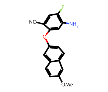 COc1ccc2cc(Oc3cc(N)c(F)cc3C#N)ccc2c1